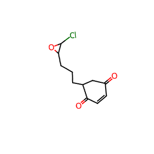 O=C1C=CC(=O)C(CCCC2OC2Cl)C1